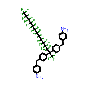 Nc1ccc(Cc2ccc(C(c3ccc(Cc4ccc(N)cc4)cc3)(C(F)(F)F)C(F)(F)C(F)(F)C(F)(F)C(F)(F)C(F)(F)C(F)(F)C(F)(F)C(F)(F)C(F)(F)C(F)(F)C(F)(F)C(F)(F)F)cc2)cc1